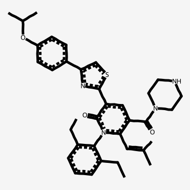 CCc1cccc(CC)c1-n1c(C=C(C)C)c(C(=O)N2CCNCC2)cc(-c2nc(-c3ccc(OC(C)C)cc3)cs2)c1=O